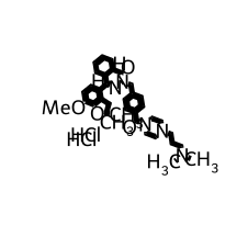 COc1ccc(C2=NN(Cc3ccc(C(=O)N4CCN(CCCN(C)C)CC4)cc3)C(=O)[C@@H]3CC=CC[C@H]23)c2c1OC(C)(C)C2.Cl.Cl